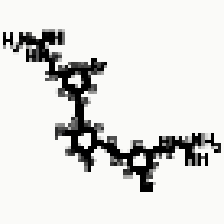 N=C(N)NCCc1cc(Br)cc(C#Cc2cc(C#Cc3cc(Br)cc(CCNC(=N)N)c3)c(F)cc2F)c1